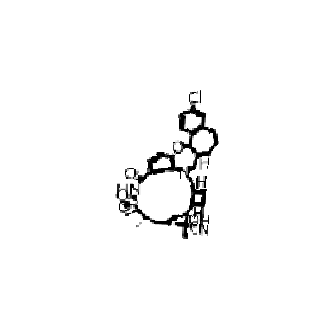 C[C@@H]1[C@@H](C)C/C=C/[C@](O)(C(C)(C)C#N)[C@@H]2CC[C@H]2CN2C[C@H]3CCCc4cc(Cl)ccc4C3Oc3ccc(cc32)C(=O)NS1(=O)=O